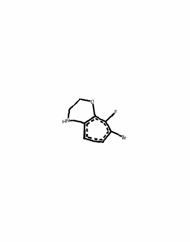 Fc1c(Br)ccc2c1OCCN2